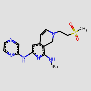 CC(C)(C)Nc1nc(Nc2cnccn2)cc2c1CN(CCS(C)(=O)=O)C=C2